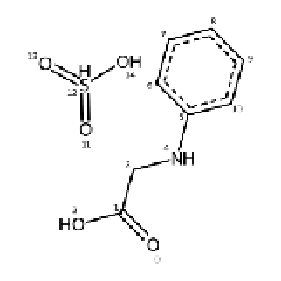 O=C(O)CNc1ccccc1.O=[SH](=O)O